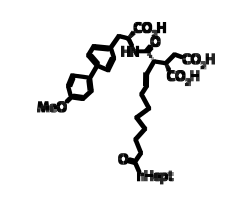 CCCCCCCC(=O)CCCCCC/C=C/[C@H](C(=O)N[C@@H](Cc1ccc(-c2ccc(OC)cc2)cc1)C(=O)O)[C@@H](CC(=O)O)C(=O)O